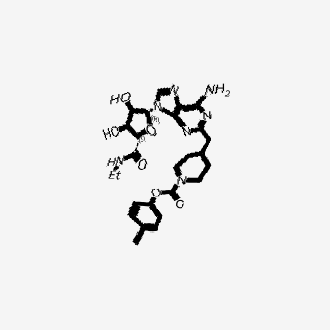 CCNC(=O)[C@H]1O[C@@H](n2cnc3c(N)nc(CC4CCN(C(=O)Oc5ccc(C)cc5)CC4)nc32)C(O)C1O